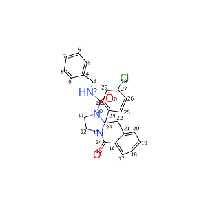 O=C(NCc1ccccc1)N1CCN2C(=O)c3ccccc3CC12c1ccc(Cl)cc1